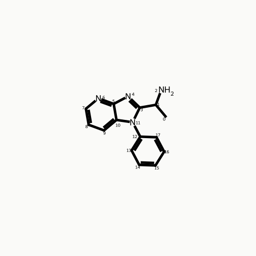 CC(N)c1nc2ncccc2n1-c1ccccc1